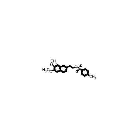 COc1cc2ccc(CCOS(=O)(=O)c3ccc(C)cc3)cc2cc1OC